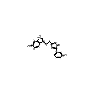 Clc1cccc(-c2cc(CSc3c[nH]c4cc(Cl)ccc34)n[nH]2)c1